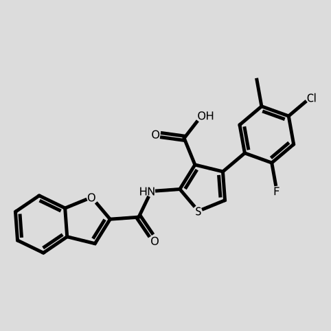 Cc1cc(-c2csc(NC(=O)c3cc4ccccc4o3)c2C(=O)O)c(F)cc1Cl